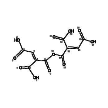 O=C(O)/C=C(\C(=O)O)C(=O)OC(=O)/C(=C/C(=O)O)C(=O)O